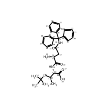 C[C@@H](OC(C)(C)C)[C@H](NC(=O)[C@@H](N)CC(=O)NC(c1ccccc1)(c1ccccc1)c1ccccc1)C(=O)O